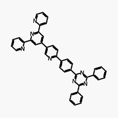 c1ccc(-c2nc(-c3ccccc3)nc(-c3ccc(-c4ccc(-c5cc(-c6ccccn6)nc(-c6ccccn6)c5)cn4)cc3)n2)cc1